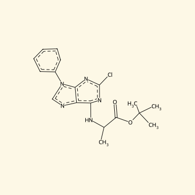 CC(Nc1nc(Cl)nc2c1ncn2-c1ccccc1)C(=O)OC(C)(C)C